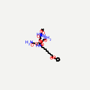 CC(C)(C)OC(=O)NNC(=O)CCOCC(COCCC(N)=O)(COCCC(N)=O)NC(=O)CCCCCCCCCCC(=O)OCc1ccccc1